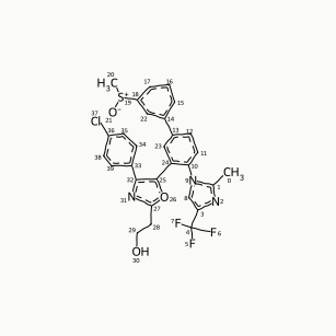 Cc1nc(C(F)(F)F)cn1-c1ccc(-c2cccc([S+](C)[O-])c2)cc1-c1oc(CCO)nc1-c1ccc(Cl)cc1